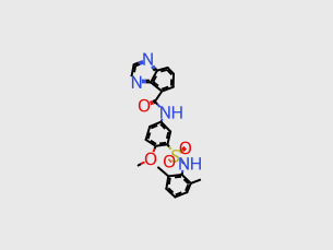 COc1ccc(NC(=O)c2cccc3nccnc23)cc1S(=O)(=O)Nc1c(C)cccc1C